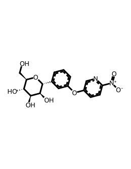 O=[N+]([O-])c1ccc(Oc2cccc([C@H]3O[C@H](CO)[C@@H](O)[C@H](O)[C@@H]3O)c2)cn1